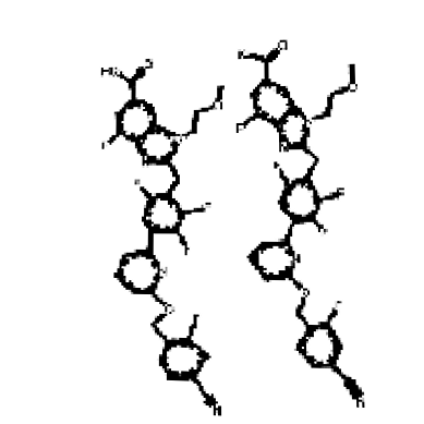 COCCn1c(Cc2c(F)cc(-c3cccc(OCc4ccc(C#N)cc4F)n3)c(F)c2F)nc2c(F)cc(C(=O)O)cc21.COCCn1c(Cc2c(F)cc(-c3cccc(OCc4ccc(C#N)cc4F)n3)c(F)c2F)nc2c(F)cc(C(=O)O)cc21